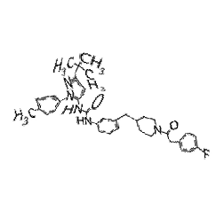 Cc1ccc(-n2nc(C(C)(C)C)cc2NC(=O)Nc2cccc(CC3CCN(C(=O)Cc4ccc(F)cc4)CC3)c2)cc1